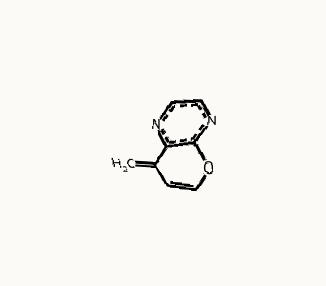 C=C1C=COc2nccnc21